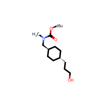 CN(C[C@H]1CC[C@H](CCCO)CC1)C(=O)OC(C)(C)C